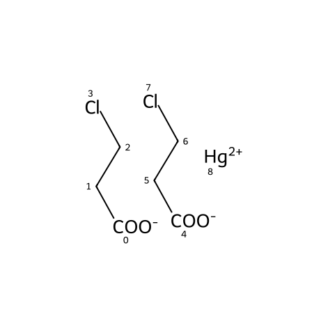 O=C([O-])CCCl.O=C([O-])CCCl.[Hg+2]